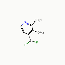 COc1c(C(F)F)ccnc1C(=O)O